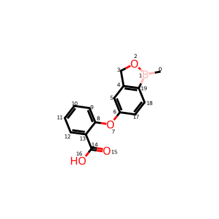 CB1OCc2cc(Oc3ccccc3C(=O)O)ccc21